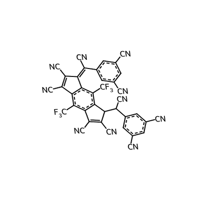 N#CC1=C(C#N)c2c(c(C(F)(F)F)c3c(c2C(F)(F)F)C(C#N)=C(C#N)C3C(C#N)c2cc(C#N)cc(C#N)c2)/C1=C(/C#N)c1cc(C#N)cc(C#N)c1